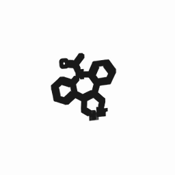 CC(=O)N1c2ccccc2C(CBr)=C(CBr)c2ccccc21